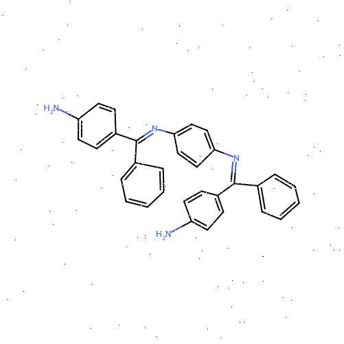 Nc1ccc(C(=Nc2ccc(N=C(c3ccccc3)c3ccc(N)cc3)cc2)c2ccccc2)cc1